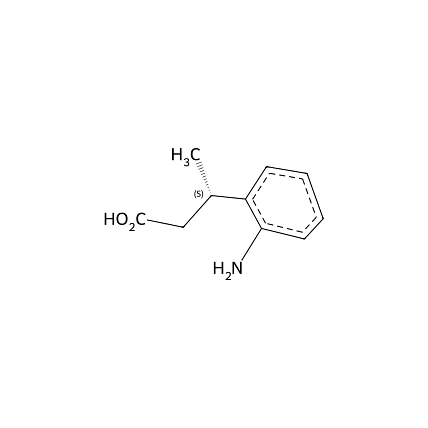 C[C@@H](CC(=O)O)c1ccccc1N